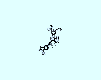 C=CC(=O)N1C[C@@H](n2nc(C#Cc3ccc4c(c3)nc(C)n4CC)c3c(N)ncnc32)C[C@@H]1CC#N